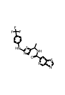 CC(NC(=O)c1cc2scnc2cn1)c1cnc(Nc2ccc(C(F)(F)F)cc2)s1